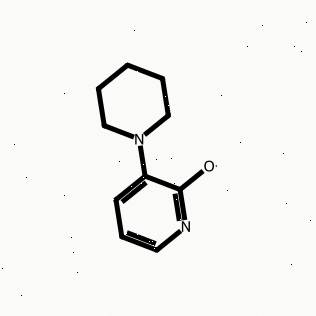 [O]c1ncccc1N1CCCCC1